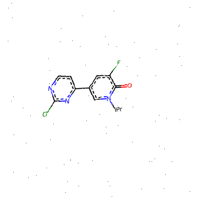 CC(C)n1cc(-c2ccnc(Cl)n2)cc(F)c1=O